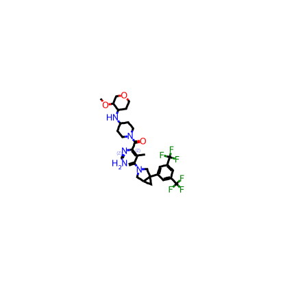 C=C(/C(C)=C(\N=C/N)C(=O)N1CCC(NC2CCOCC2OC)CC1)N1CC2CC2(c2cc(C(F)(F)F)cc(C(F)(F)F)c2)C1